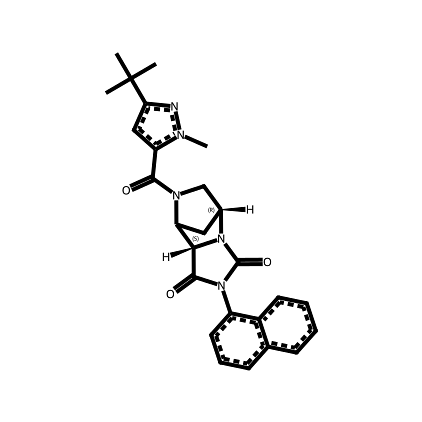 Cn1nc(C(C)(C)C)cc1C(=O)N1C[C@H]2CC1[C@H]1C(=O)N(c3cccc4ccccc34)C(=O)N21